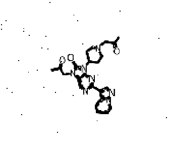 CC(=O)CN1CCC(n2c(=O)n(CC(C)=O)c3cnc(-c4cnn5ccccc45)nc32)CC1